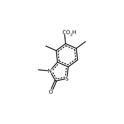 Cc1cc2sc(=O)n(C)c2c(C)c1C(=O)O